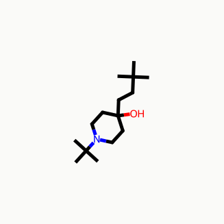 CC(C)(C)CCC1(O)CCN(C(C)(C)C)CC1